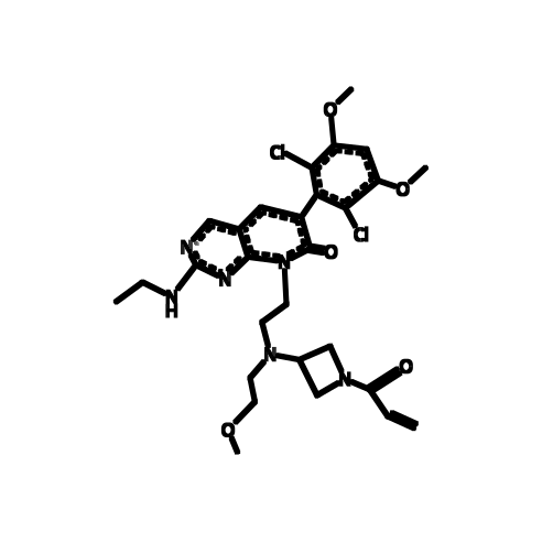 C=CC(=O)N1CC(N(CCOC)CCn2c(=O)c(-c3c(Cl)c(OC)cc(OC)c3Cl)cc3cnc(NCC)nc32)C1